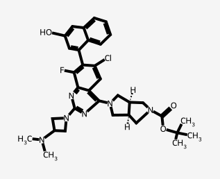 CN(C)C1CN(c2nc(N3C[C@H]4CN(C(=O)OC(C)(C)C)C[C@H]4C3)c3cc(Cl)c(-c4cc(O)cc5ccccc45)c(F)c3n2)C1